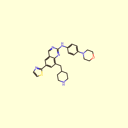 c1csc(-c2cc(CC3CCNCC3)c3nc(Nc4ccc(N5CCOCC5)cc4)ncc3c2)n1